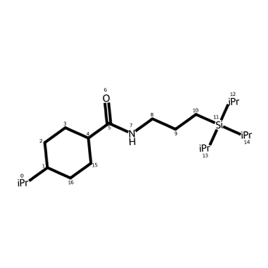 CC(C)C1CCC(C(=O)NCCC[Si](C(C)C)(C(C)C)C(C)C)CC1